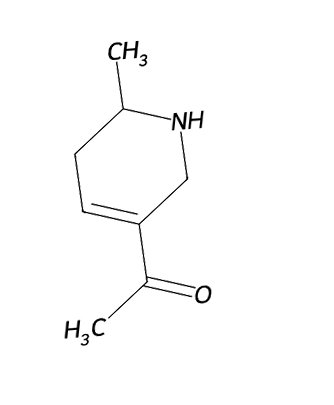 CC(=O)C1=CCC(C)NC1